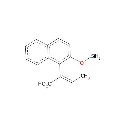 C/C=C(/C(=O)O)c1c(O[SiH3])ccc2ccccc12